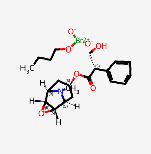 CCCCO[Br+2]([O-])[O-].CN1[C@@H]2C[C@@H](OC(=O)[C@H](CO)c3ccccc3)C[C@H]1[C@@H]1O[C@@H]12